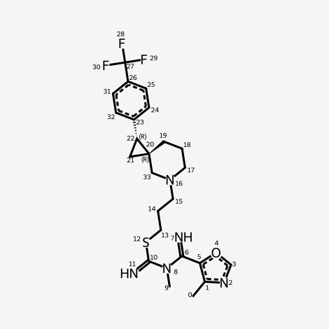 Cc1ncoc1C(=N)N(C)C(=N)SCCCN1CCC[C@]2(C[C@@H]2c2ccc(C(F)(F)F)cc2)C1